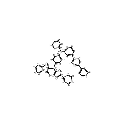 c1ccc(-c2ccc(-c3cccc(N(c4ccccc4)c4ccc(-c5c6oc(-c7ccccc7)nc6cc6c5oc5ccccc56)cc4)c3)cc2)cc1